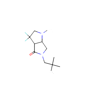 CC(C)(C#N)CN1CC2C(C1=O)C(F)(F)CN2C(=O)O